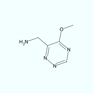 COc1ncnnc1CN